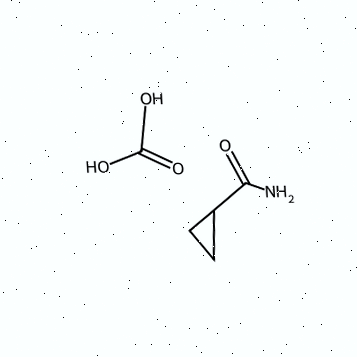 NC(=O)C1CC1.O=C(O)O